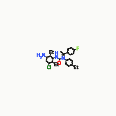 CCc1ccc(N(C(=O)Nc2c(CC)c(N)cc(Cl)c2CC)[C@@H](C)c2ccc(F)cc2)cc1